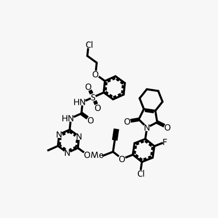 C#CC(C)Oc1cc(N2C(=O)C3=C(CCCC3)C2=O)c(F)cc1Cl.COc1nc(C)nc(NC(=O)NS(=O)(=O)c2ccccc2OCCCl)n1